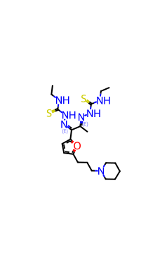 CCNC(=S)N/N=C(C)/C(=N\NC(=S)NCC)c1ccc(CCCN2CCCCC2)o1